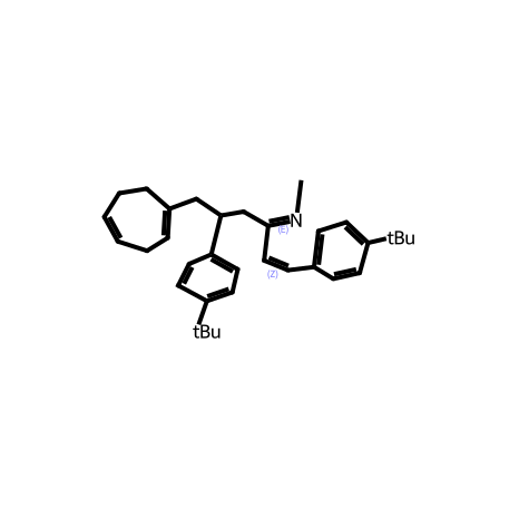 C/N=C(/C=C\c1ccc(C(C)(C)C)cc1)CC(CC1=CCC=CCC1)c1ccc(C(C)(C)C)cc1